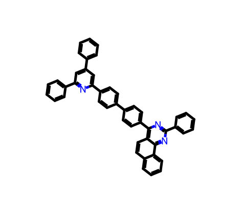 c1ccc(-c2cc(-c3ccccc3)nc(-c3ccc(-c4ccc(-c5nc(-c6ccccc6)nc6c5ccc5ccccc56)cc4)cc3)c2)cc1